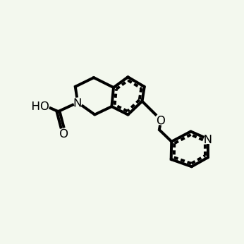 O=C(O)N1CCc2ccc(OCc3cccnc3)cc2C1